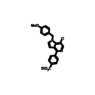 CCOC(=O)c1ccc(-c2ncc(Cl)c3c2ccn3Cc2ccc(OC)cc2)cc1